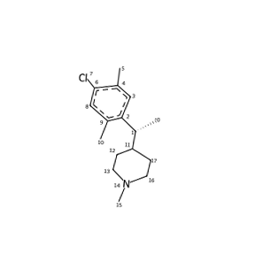 [CH2][C@@H](c1cc(C)c(Cl)cc1C)C1CCN(C)CC1